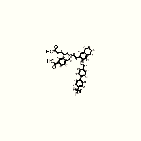 O=C(O)CCCCN(CCc1cc2c(cc1OCc1ccc(-c3ccc(C(F)(F)F)cc3)cc1)CCCC2)Cc1ccc(C(=O)O)cc1